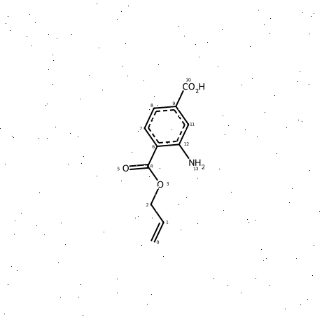 C=CCOC(=O)c1ccc(C(=O)O)cc1N